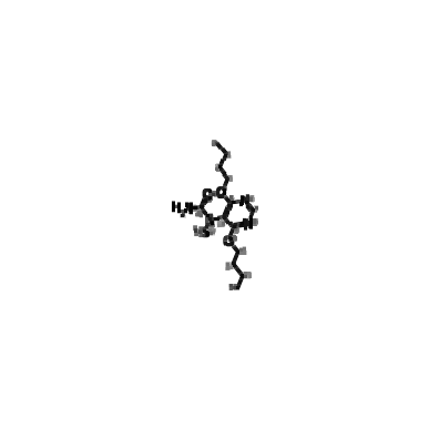 CCCCOc1ncnc(OCCCC)c1N(S)C(N)=O